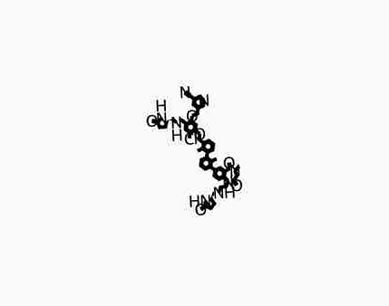 Cc1c(COc2cc(OCc3cncc(C#N)c3)c(CNC[C@@H]3CCC(=O)N3)cc2Cl)cccc1-c1cccc(-c2ccc3c(c2)C(=O)N(C)CC(=O)N3CCNC[C@H]2CCC(=O)N2)c1C